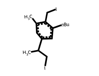 CCCCc1cc(C(C)CI)cc(C)c1CI